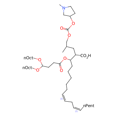 CCCCC/C=C\C/C=C\CCCCCC(OC(=O)CCC(OCCCCCCCC)OCCCCCCCC)C(CC(C)COC(=O)OC1CCN(C)C1)C(=O)O